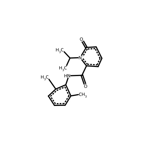 Cc1cccc(C)c1NC(=O)c1cccc(=O)n1C(C)C